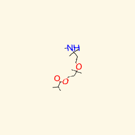 CNC(C)(C)CCOC(C)(C)CCOC(=O)C(C)C